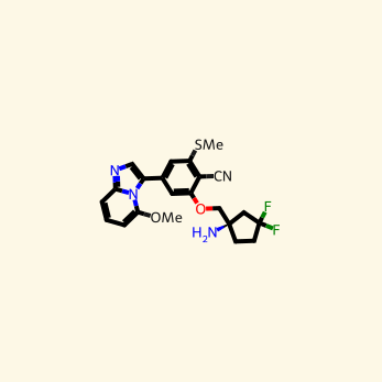 COc1cccc2ncc(-c3cc(OC[C@@]4(N)CCC(F)(F)C4)c(C#N)c(SC)c3)n12